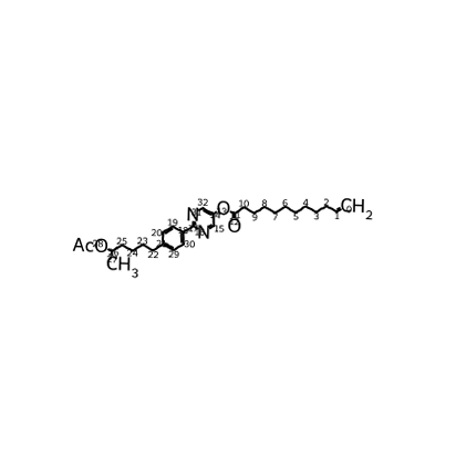 C=CCCCCCCCCCC(=O)Oc1cnc(-c2ccc(CCCCC(C)OC(C)=O)cc2)nc1